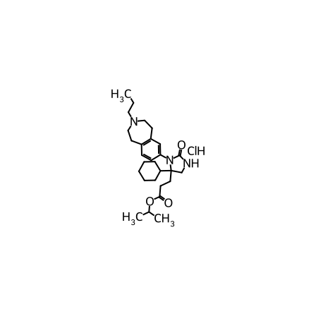 CCCN1CCc2ccc(N3C(=O)NCC3(CCC(=O)OC(C)C)C3CCCCC3)cc2CC1.Cl